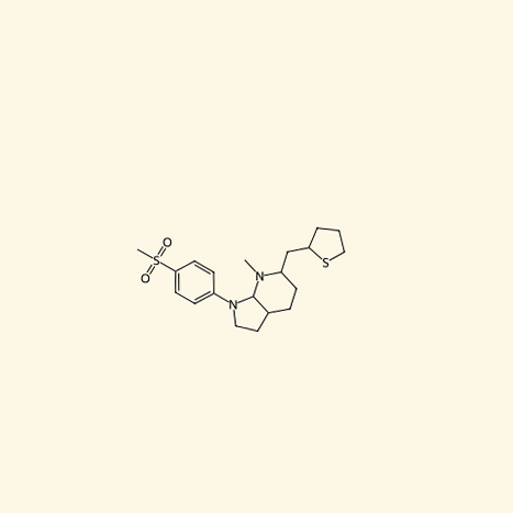 CN1C(CC2CCCS2)CCC2CCN(c3ccc(S(C)(=O)=O)cc3)C21